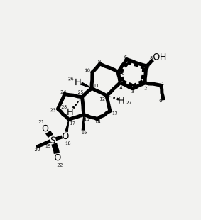 CCc1cc2c(cc1O)CC[C@@H]1[C@@H]2CC[C@]2(C)[C@@H](OS(C)(=O)=O)CC[C@@H]12